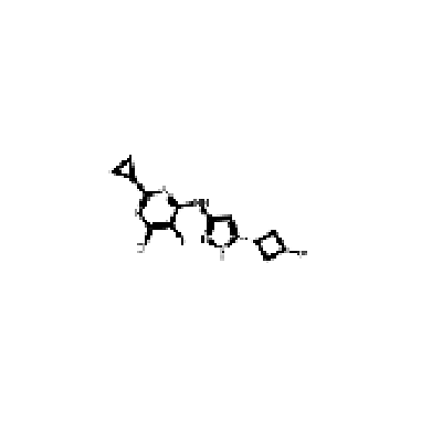 Fc1c(Cl)nc(C2CC2)nc1Nc1cc([C@H]2C[C@H](F)C2)[nH]n1